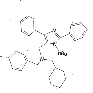 CCCCn1c(-c2ccccc2)nc(-c2ccccc2)c1CN(Cc1ccc(C(F)(F)F)cc1)CC1CCCCC1